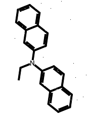 CCN(c1ccc2ccccc2c1)c1ccc2ccccc2c1